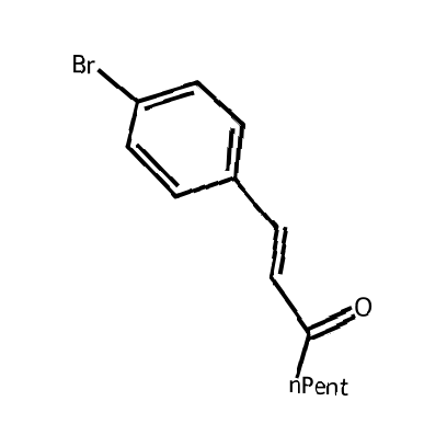 CCCCCC(=O)C=Cc1ccc(Br)cc1